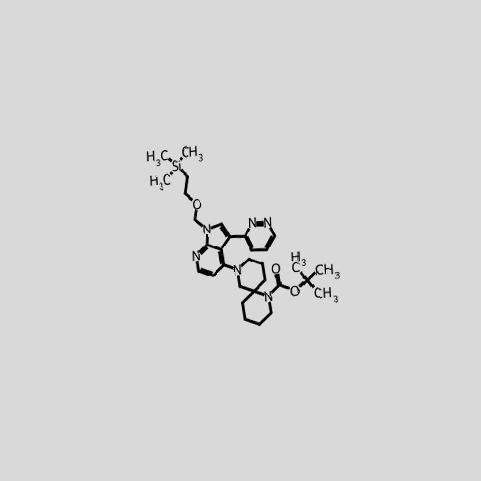 CC(C)(C)OC(=O)N1CCCCC12CCCN(c1ccnc3c1c(-c1cccnn1)cn3COCC[Si](C)(C)C)C2